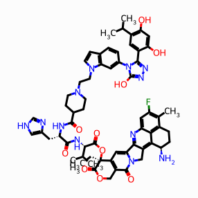 CC[C@@]1(OC(=O)[C@@H](NC(=O)[C@H](Cc2c[nH]cn2)NC(=O)C2CCN(CCn3ccc4ccc(-n5c(O)nnc5-c5cc(C(C)C)c(O)cc5O)cc43)CC2)C(C)C)C(=O)OCc2c1cc1n(c2=O)Cc2c-1nc1cc(F)c(C)c3c1c2[C@H](N)CC3